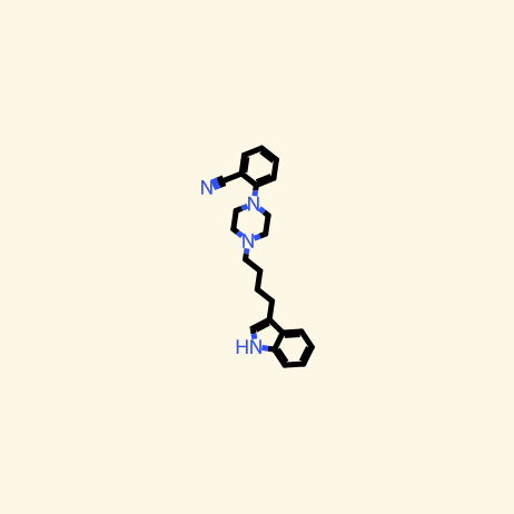 N#Cc1ccccc1N1CCN(CCCCc2c[nH]c3ccccc23)CC1